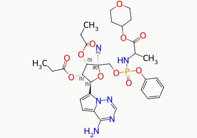 CCC(=O)O[C@H]1[C@H](c2ccc3c(N)ncnn23)O[C@](C#N)(COP(=O)(NC(C)C(=O)OC2CCOCC2)Oc2ccccc2)[C@H]1OC(=O)CC